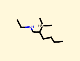 CCCCC(CNCC)[SiH](C)C